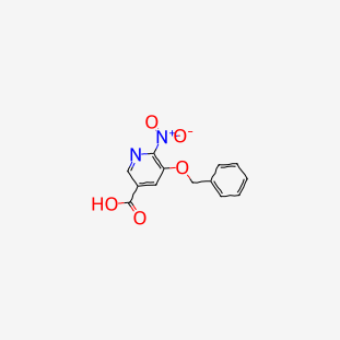 O=C(O)c1cnc([N+](=O)[O-])c(OCc2ccccc2)c1